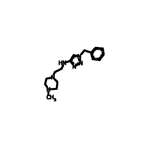 CN1CCN(CCNc2cn(Cc3ccccc3)nn2)CC1